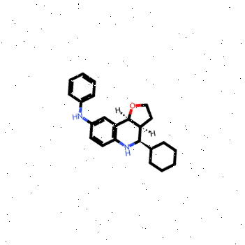 c1ccc(Nc2ccc3c(c2)[C@H]2OCC[C@H]2[C@@H](C2CCCCC2)N3)cc1